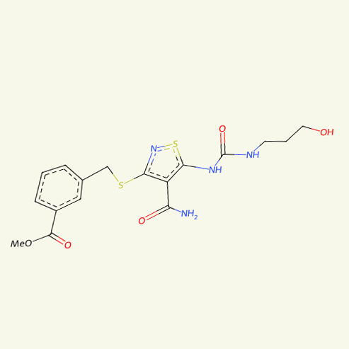 COC(=O)c1cccc(CSc2nsc(NC(=O)NCCCO)c2C(N)=O)c1